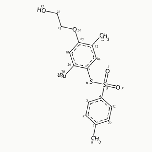 Cc1ccc(S(=O)(=O)Sc2cc(C)c(OCCO)cc2C(C)(C)C)cc1